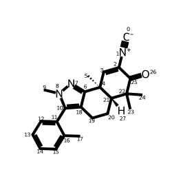 [C-]#[N+]C1=C[C@]2(C)c3nn(C)c(-c4ccccc4C)c3CC[C@H]2C(C)(C)C1=O